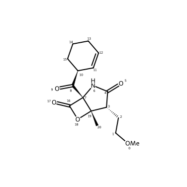 COCC[C@H]1C(=O)N[C@@]2(C(=O)[C@@H]3C=CCCC3)C(=O)O[C@@]12C